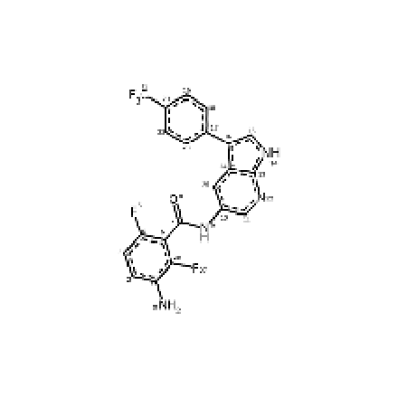 Nc1ccc(F)c(C(=O)Nc2cnc3[nH]cc(-c4ccc(C(F)(F)F)cc4)c3c2)c1F